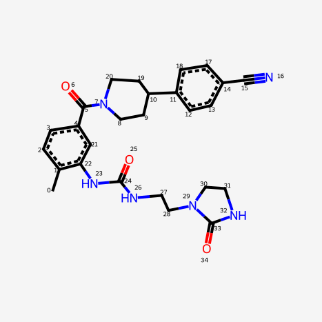 Cc1ccc(C(=O)N2CCC(c3ccc(C#N)cc3)CC2)cc1NC(=O)NCCN1CCNC1=O